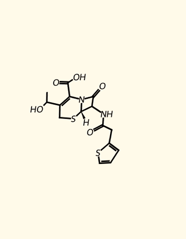 CC(O)C1=C(C(=O)O)N2C(=O)C(NC(=O)Cc3cccs3)[C@@H]2SC1